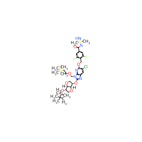 CC(C)(C)[Si](C)(C)O[C@@H]1CO[C@H]2[C@@H]1OC[C@H]2Oc1nc2cc(Cl)c(OCc3c(F)cc(C(=O)N=S(C)(C)=N)cc3F)nc2n1COCC[SH](C)(C)(C)C